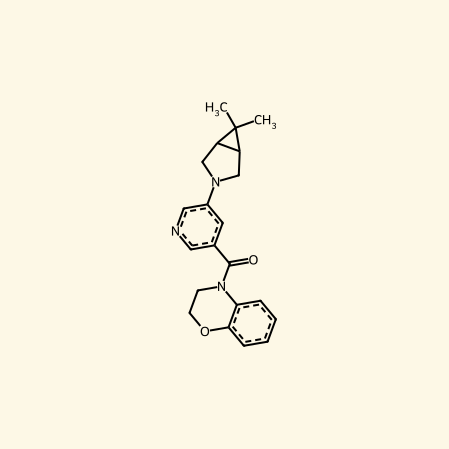 CC1(C)C2CN(c3cncc(C(=O)N4CCOc5ccccc54)c3)CC21